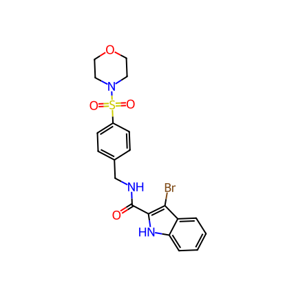 O=C(NCc1ccc(S(=O)(=O)N2CCOCC2)cc1)c1[nH]c2ccccc2c1Br